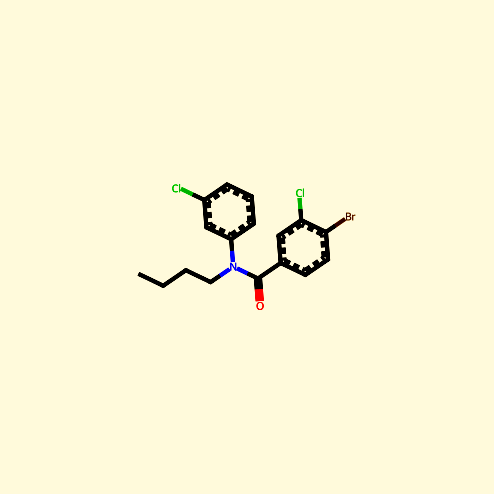 CCCCN(C(=O)c1ccc(Br)c(Cl)c1)c1cccc(Cl)c1